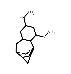 CNC1CC2CC3CCCC(=C4CC43)C2C(NC)C1